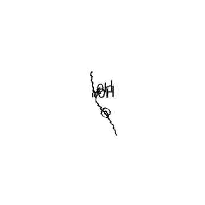 CCCCCCCCCOC(=O)CCCCCCCN(CCCCCCCC)C(CO)CO